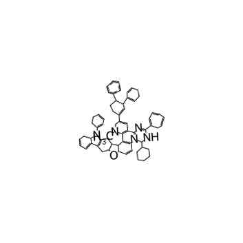 CN1CC(C2=CC(C3=CCCC=C3)C(c3ccccc3)CC2)=CC(C2=NC(C3CCCCC3)NC(C3=CC=CC=CC3)=N2)=C1C1=CC=CC2OC3CC4=C(CC3C12)N(C1=CC=CCC1)C1CC=CC=C41